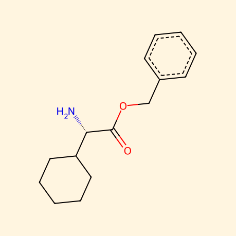 N[C@H](C(=O)OCc1ccccc1)C1CCCCC1